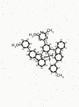 Cc1cccc(-c2ccc3c4ccccc4n(-c4cc(-c5nc(C)nc(C)n5)cc(-n5c6ccccc6c6ccc(-c7cccc(C)c7)cc65)c4C(F)(F)F)c3c2)c1